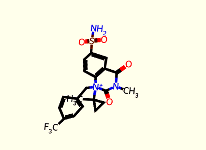 CN1C(=O)c2cc(S(N)(=O)=O)ccc2[N+](Cc2ccc(C(F)(F)F)cc2)(C2(C)CC2)C1=O